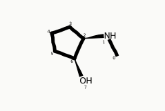 CN[C@@H]1CCC[C@@H]1O